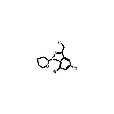 ClCc1nn(C2CCCCO2)c2c(Br)cc(Cl)cc12